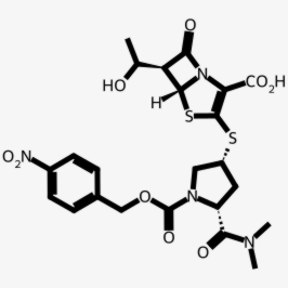 CC(O)[C@H]1C(=O)N2C(C(=O)O)=C(S[C@@H]3C[C@H](C(=O)N(C)C)N(C(=O)OCc4ccc([N+](=O)[O-])cc4)C3)S[C@H]12